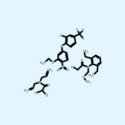 C=CCN(CC=C)C(=O)C(Cl)Cl.CCOc1cc(Oc2ccc(C(F)(F)F)cc2Cl)ccc1[N+](=O)[O-].CCc1cccc(CC)c1N(COC)C(=O)CCl